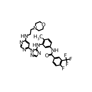 Cc1ccc(NC(=O)c2ccc(F)c(C(F)(F)F)c2)cc1Nc1ncnn1-c1cc(NCCN2CCOCC2)ncn1